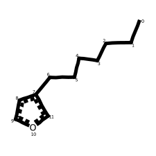 CCCCCCCc1ccoc1